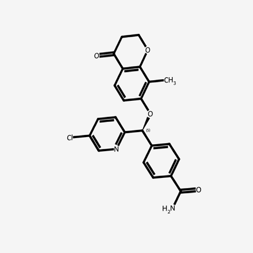 Cc1c(O[C@@H](c2ccc(C(N)=O)cc2)c2ccc(Cl)cn2)ccc2c1OCCC2=O